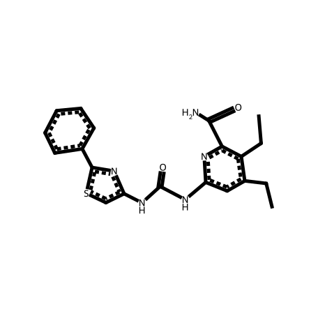 CCc1cc(NC(=O)Nc2csc(-c3ccccc3)n2)nc(C(N)=O)c1CC